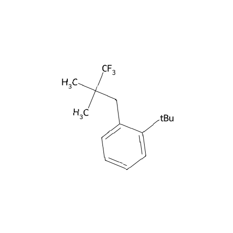 CC(C)(C)c1ccccc1CC(C)(C)C(F)(F)F